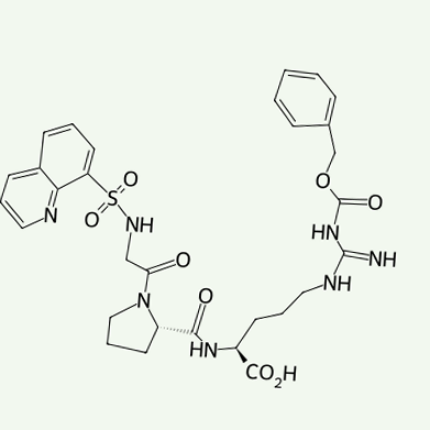 N=C(NCCC[C@H](NC(=O)[C@@H]1CCCN1C(=O)CNS(=O)(=O)c1cccc2cccnc12)C(=O)O)NC(=O)OCc1ccccc1